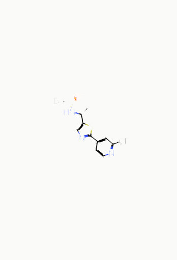 C[C@H](N[S@@+]([O-])C(C)(C)C)c1cnc(-c2ccnc(C(F)(F)F)c2)s1